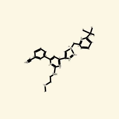 COCCNc1nc(-c2cccc(C#N)c2)cc(-c2cn(Cc3cccc(C(C)(C)C)n3)nn2)n1